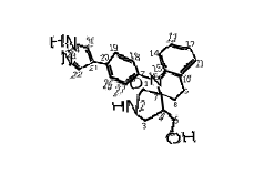 O=C1NCC(CO)C12CCc1ccccc1N2c1ccc(-c2cn[nH]c2)cc1